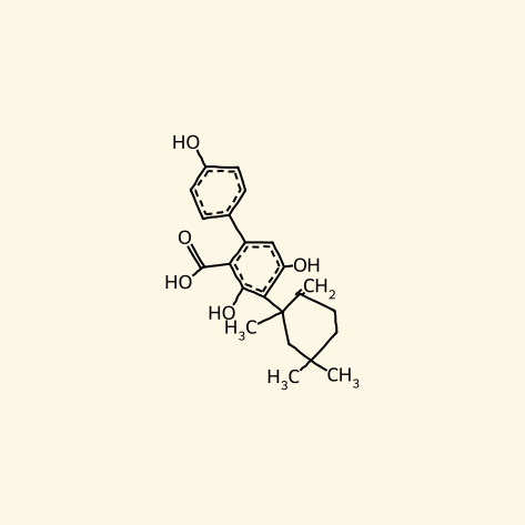 C=C1CCC(C)(C)CC1(C)c1c(O)cc(-c2ccc(O)cc2)c(C(=O)O)c1O